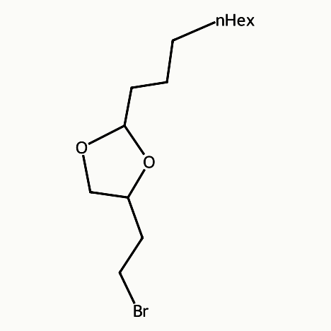 CCCCCCCCCC1OCC(CCBr)O1